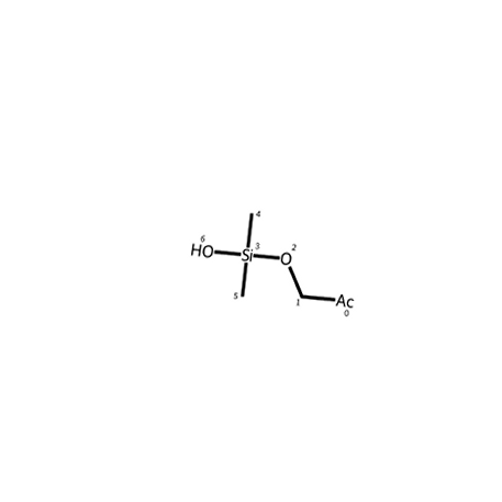 CC(=O)CO[Si](C)(C)O